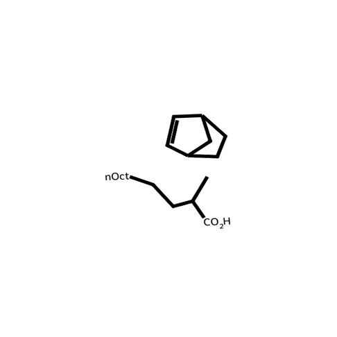 C1=CC2CCC1C2.CCCCCCCCCCC(C)C(=O)O